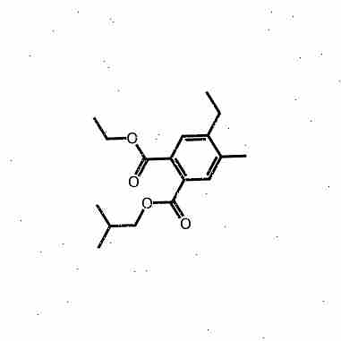 CCOC(=O)c1cc(CC)c(C)cc1C(=O)OCC(C)C